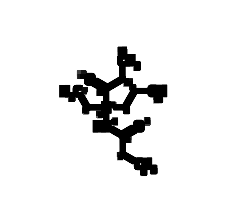 CCC(=O)N[N+](CC)(CCO)C(=O)CC